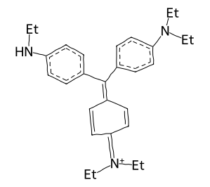 CCNc1ccc(C(=C2C=CC(=[N+](CC)CC)C=C2)c2ccc(N(CC)CC)cc2)cc1